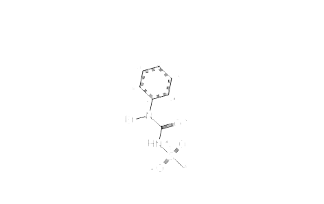 CCN(C(=O)NS(C)(=O)=O)c1ccccc1